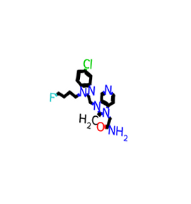 C=C1N(CC(N)=O)c2ccncc2N1Cc1nc2cc(Cl)ccc2n1CCCCF